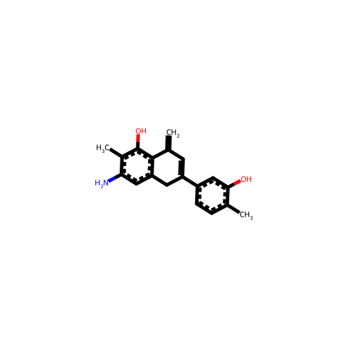 C=C1C=C(c2ccc(C)c(O)c2)Cc2cc(N)c(C)c(O)c21